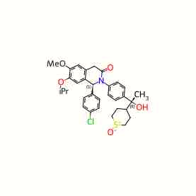 COc1cc2c(cc1OC(C)C)[C@H](c1ccc(Cl)cc1)N(c1ccc([C@](C)(O)C3CC[S+]([O-])CC3)cc1)C(=O)C2